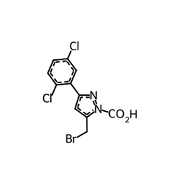 O=C(O)n1nc(-c2cc(Cl)ccc2Cl)cc1CBr